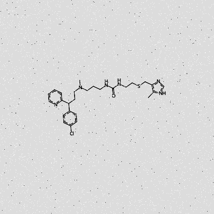 Cc1[nH]cnc1CSCCNC(=O)NCCCN(C)CCC(c1ccc(Cl)cc1)c1ccccn1